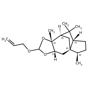 C=CCOC1O[C@H]2C[C@@]34C[C@H](C(C)(C)[C@@H]3CC[C@H]4C)[C@@]2(C)O1